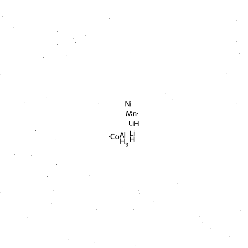 [AlH3].[Co].[LiH].[LiH].[Mn].[Ni]